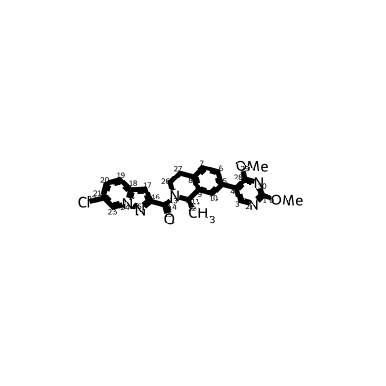 COc1ncc(-c2ccc3c(c2)C(C)N(C(=O)c2cc4ccc(Cl)cn4n2)CC3)c(OC)n1